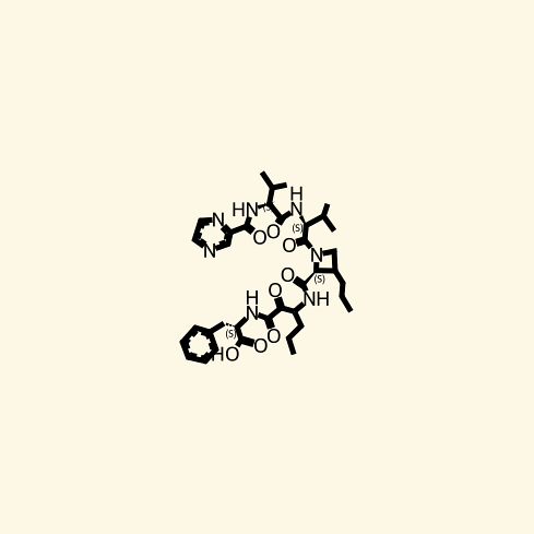 CCCC(NC(=O)[C@@H]1C(CCC)CN1C(=O)[C@@H](NC(=O)[C@@H](NC(=O)c1cnccn1)C(C)C)C(C)C)C(=O)C(=O)N[C@@H](Cc1ccccc1)C(=O)O